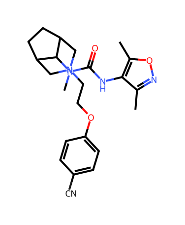 Cc1noc(C)c1NC(=O)N(C)C1C2CCC1CN(CCOc1ccc(C#N)cc1)C2